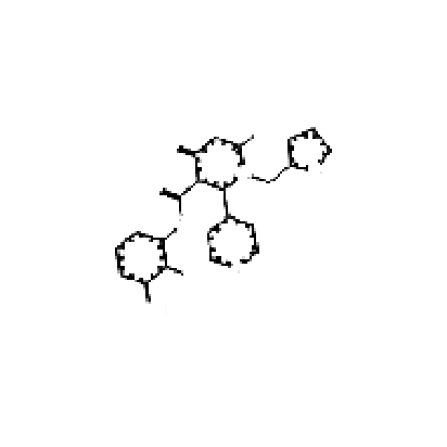 Cc1cccc(NC(=O)c2c(-c3ccncc3)n(Cc3ccco3)c(C)cc2=O)c1C